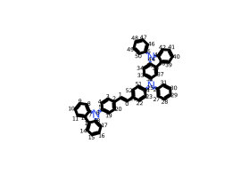 C(=Cc1ccc(-n2c3ccccc3c3ccccc32)cc1)c1ccc(N(c2ccccc2)c2ccc3c(c2)c2ccccc2n3-c2ccccc2)cc1